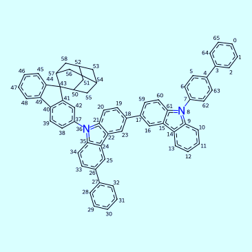 c1ccc(-c2ccc(-n3c4ccccc4c4cc(-c5ccc6c(c5)c5cc(-c7ccccc7)ccc5n6-c5ccc6c(c5)C5(c7ccccc7-6)C6CC7CC(C6)CC5C7)ccc43)cc2)cc1